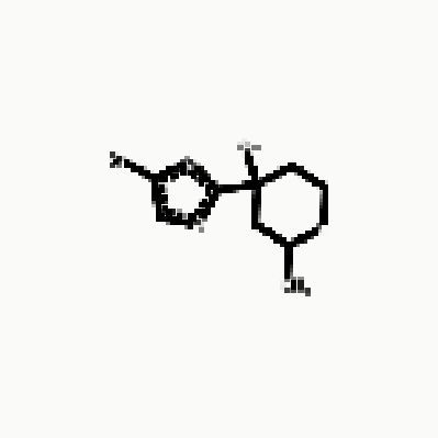 CC1CC(O)(c2ncc(Br)s2)CCO1